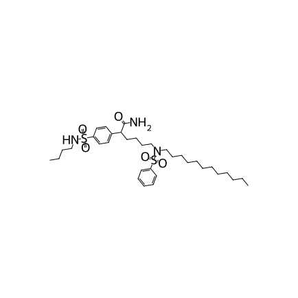 CCCCCCCCCCCCN(CCCCC(C(N)=O)c1ccc(S(=O)(=O)NCCCC)cc1)S(=O)(=O)c1ccccc1